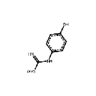 CSC(=N)Nc1ccc(O)cc1